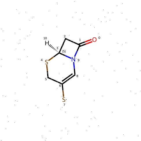 O=C1C[C@@H]2SCC([S])=CN12